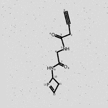 C#CCC(=O)NCC(=O)NC1CC=P1